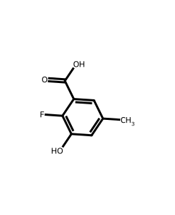 Cc1cc(O)c(F)c(C(=O)O)c1